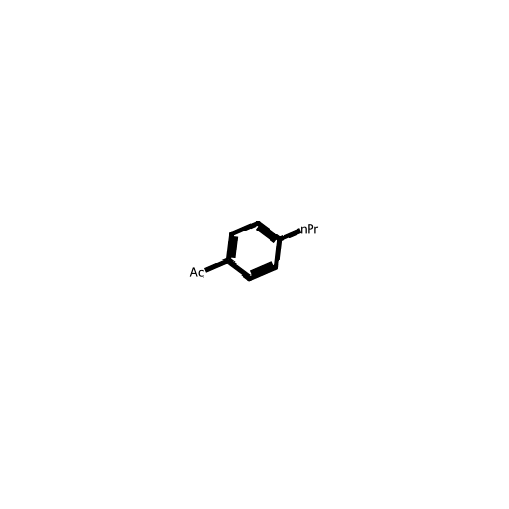 CCCc1ccc(C(C)=O)cc1